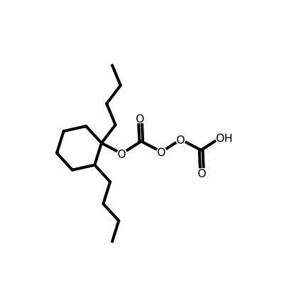 CCCCC1CCCCC1(CCCC)OC(=O)OOC(=O)O